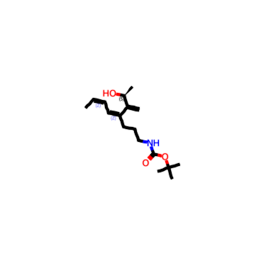 C=C(/C(=C\C=C/C)CCCNC(=O)OC(C)(C)C)[C@H](C)O